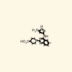 Cc1cc(Nc2nc(N3CCC(C(=O)O)CC3)nc3ccccc23)n[nH]1